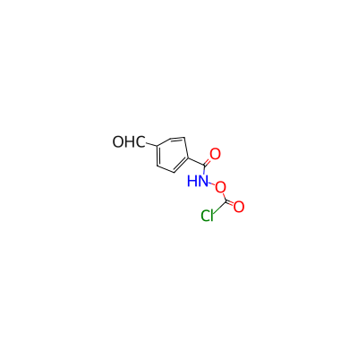 O=Cc1ccc(C(=O)NOC(=O)Cl)cc1